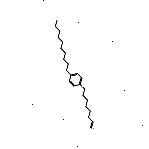 [CH]=CCCCCCCc1ccc(CCCCCCCCCC)cc1